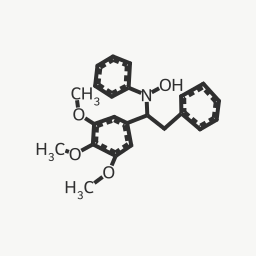 COc1cc(C(Cc2ccccc2)N(O)c2ccccc2)cc(OC)c1OC